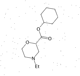 CCN1CCOC(C(=O)OC2CCCCC2)C1